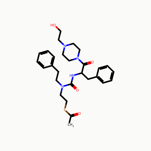 CC(=O)SCCN(CCc1ccccc1)C(=O)NC(Cc1ccccc1)C(=O)N1CCN(CCO)CC1